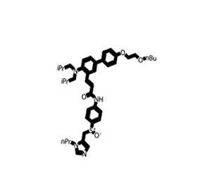 CCCCOCCOc1ccc(-c2ccc(N(CC(C)C)CC(C)C)c(C=CC(=O)Nc3ccc([S+]([O-])Cc4cncn4CCC)cc3)c2)cc1